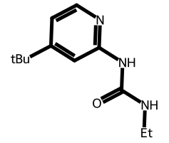 CCNC(=O)Nc1cc(C(C)(C)C)ccn1